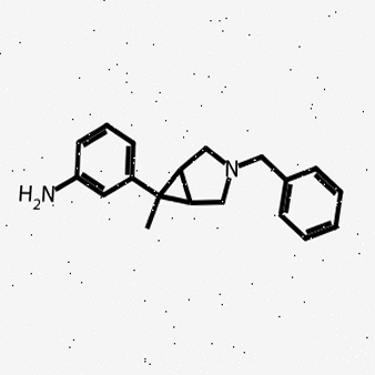 CC1(c2cccc(N)c2)C2CN(Cc3ccccc3)CC21